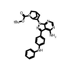 CC(C)(C)OC(=O)N1CC2CC1C(n1nc(-c3ccc(Nc4ccccc4)cc3)c3c(N)ncnc31)C2